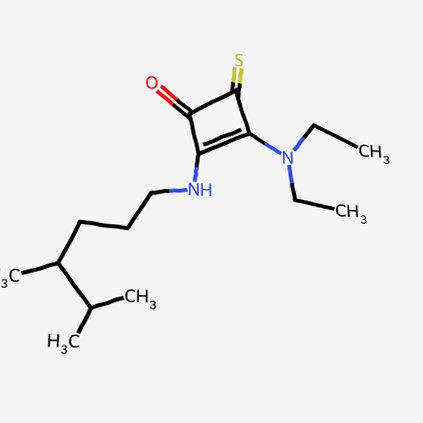 CCN(CC)c1c(NCCCC(C)C(C)C)c(=O)c1=S